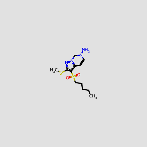 CCCCCS(=O)(=O)c1c(SC)nn2c1C=CN(N)C2